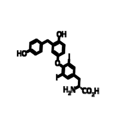 N[C@H](Cc1cc(I)c(Oc2ccc(O)c(Cc3ccc(O)cc3)c2)c(I)c1)C(=O)O